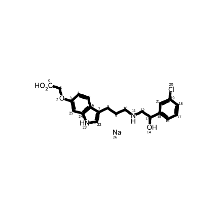 O=C(O)COc1ccc2c(CCCNCC(O)c3cccc(Cl)c3)c[nH]c2c1.[Na]